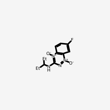 CCC(CC)Nc1n[n+]([O-])c2cc(F)ccc2[n+]1[O-]